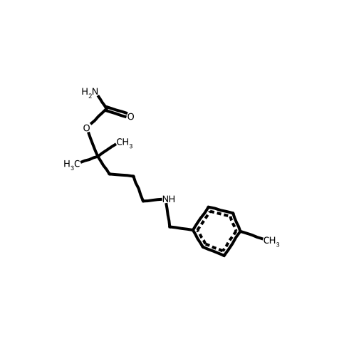 Cc1ccc(CNCCCC(C)(C)OC(N)=O)cc1